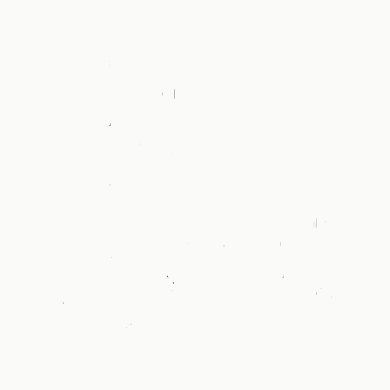 Cc1c(CC(=O)OC(C)C)cc(-c2ccc(CS(=O)O)cc2)n1-c1ccccc1